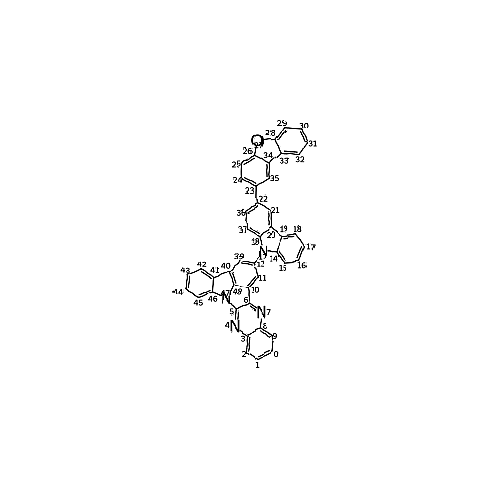 c1ccc2nc3c(nc2c1)c1cc(-n2c4ccccc4c4cc(-c5ccc6oc7ccccc7c6c5)ccc42)cc2c4ccccc4n3c21